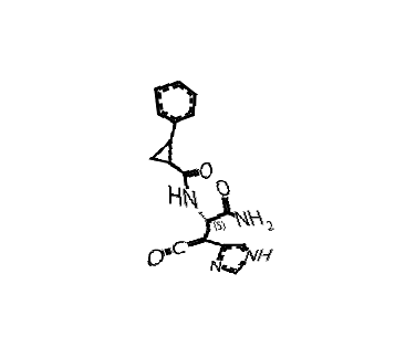 NC(=O)[C@@H](NC(=O)C1CC1c1ccccc1)C(=C=O)c1c[nH]cn1